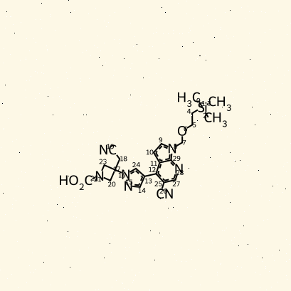 C[Si](C)(C)CCOCn1ccc2c(-c3cnn(C4(CC#N)CN(C(=O)O)C4)c3)c(C#N)cnc21